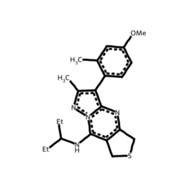 CCC(CC)Nc1c2c(nc3c(-c4ccc(OC)cc4C)c(C)nn13)CSC2